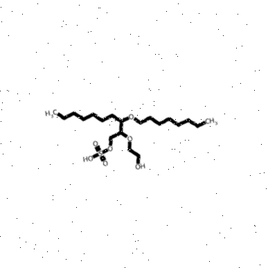 CCCCCCCCOC(CCCCCCC)C(COS(=O)(=O)O)OCCO